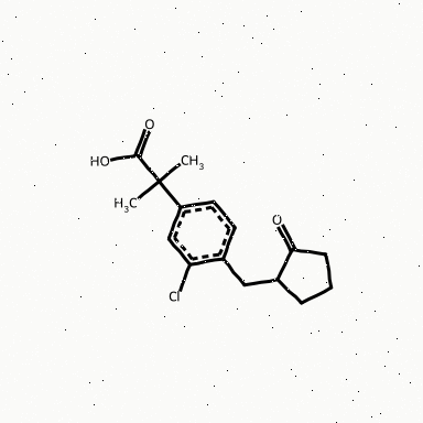 CC(C)(C(=O)O)c1ccc(CC2CCCC2=O)c(Cl)c1